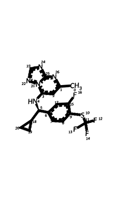 Cc1cc(N[C@@H](c2ccc(SC(F)(F)F)c(F)c2)C2CC2)n2ncnc2n1